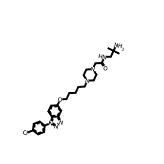 CC(C)(N)CNC(=O)CN1CCN(CCCCCOc2ccc3c(c2)nnn3-c2ccc(Cl)cc2)CC1